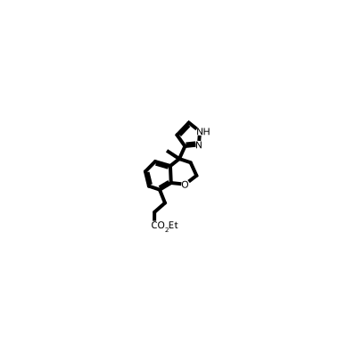 CCOC(=O)CCc1cccc2c1OCCC2(C)c1cc[nH]n1